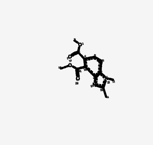 COC(=O)c1ccc2c(nc(C)n2C)c1C(=O)OC